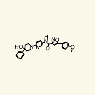 COc1ccc(-c2cc(C(=O)Nc3ccc(N4CCC(O)(c5ccccc5)CC4)nc3)no2)cc1